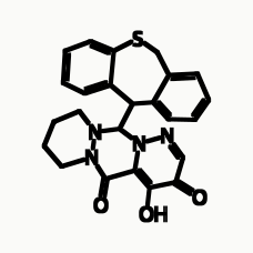 O=C1c2c(O)c(=O)cnn2C(C2c3ccccc3CSc3ccccc32)N2CCCCN12